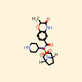 CC1Oc2ccc(C(=O)NC3C[C@H]4CC[C@@H](C3)N4S(=O)(=O)CC3CCNCC3)cc2NC1=O